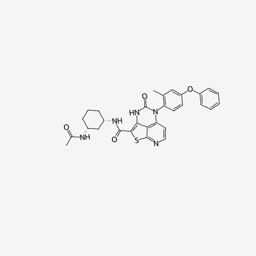 CC(=O)N[C@@H]1CCC[C@H](NC(=O)c2sc3nccc4c3c2NC(=O)N4c2ccc(Oc3ccccc3)cc2C)C1